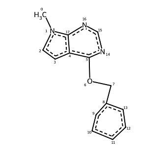 Cn1ccc2c(OCc3ccccc3)ncnc21